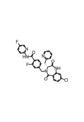 O=C(Nc1ccc(F)cn1)c1ccc(CN2C(=O)c3ccc(Cl)cc3NC(=O)[C@H]2Cc2ccccn2)cc1F